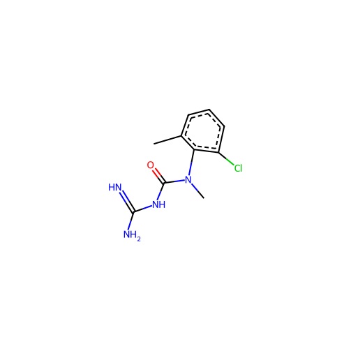 Cc1cccc(Cl)c1N(C)C(=O)NC(=N)N